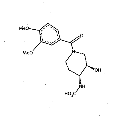 COc1ccc(C(=O)N2CC[C@H](NC(=O)O)[C@H](O)C2)cc1OC